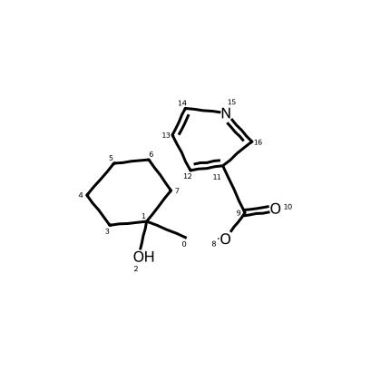 CC1(O)CCCCC1.[O]C(=O)c1cccnc1